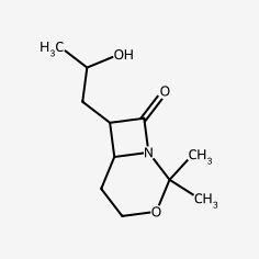 CC(O)CC1C(=O)N2C1CCOC2(C)C